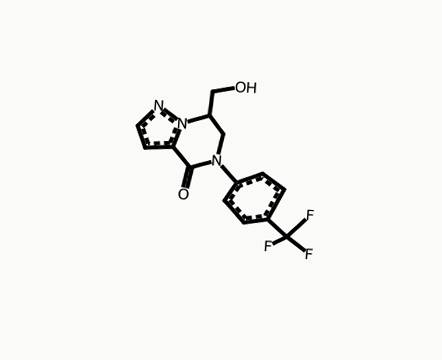 O=C1c2ccnn2C(CO)CN1c1ccc(C(F)(F)F)cc1